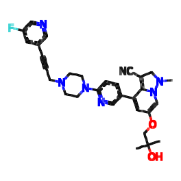 CN1CC(C#N)=C2C(c3ccc(N4CCN(CC#Cc5cncc(F)c5)CC4)nc3)=CC(OCC(C)(C)O)=CN21